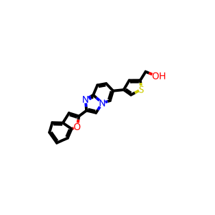 OCc1cc(-c2ccc3nc(-c4cc5ccccc5o4)cn3c2)cs1